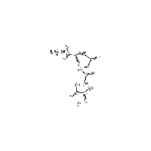 O=S(O)O.O=S(O)O.O=S(O)S(=O)O.O=S(O)S(=O)O.[KH].[KH].[NaH].[NaH]